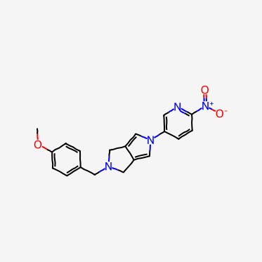 COc1ccc(CN2Cc3cn(-c4ccc([N+](=O)[O-])nc4)cc3C2)cc1